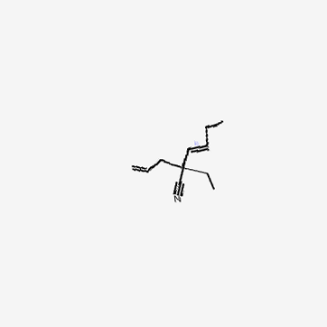 C=CCC(C#N)(/C=C/CC)CC